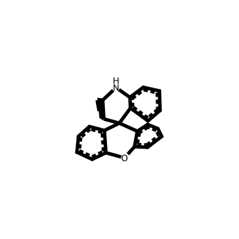 C1=CC2Nc3ccccc3C3(c4ccccc4Oc4ccccc43)C2C=C1